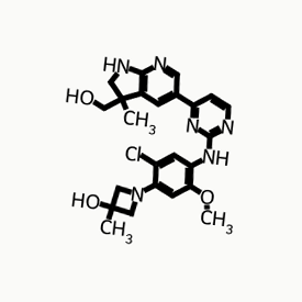 COc1cc(N2CC(C)(O)C2)c(Cl)cc1Nc1nccc(-c2cnc3c(c2)C(C)(CO)CN3)n1